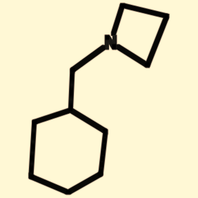 C1CCC(CN2CCC2)CC1